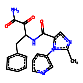 Cc1ncc(C(=O)NC(Cc2ccccc2)C(=O)C(N)=O)n1-c1cccnc1